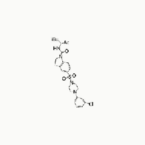 CCC(C)C(NC(=O)N1CCc2cc(S(=O)(=O)N3CCN(c4cccc(Cl)c4)CC3)ccc21)C(C)=O